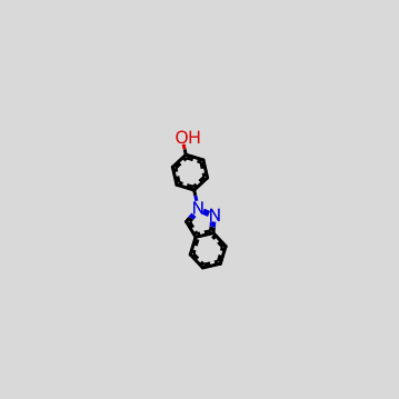 Oc1ccc(-n2cc3ccccc3n2)cc1